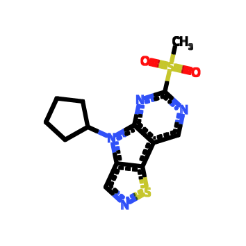 CS(=O)(=O)c1ncc2c3sncc3n(C3CCCC3)c2n1